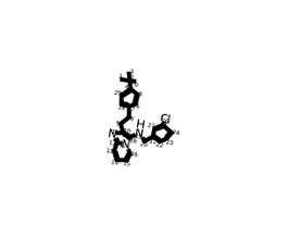 CC(C)(C)c1ccc(CCc2nc3ccccn3c2NCc2cccc(Cl)c2)cc1